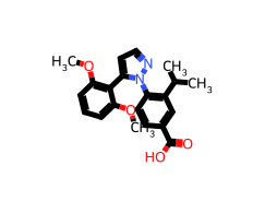 COc1cccc(OC)c1-c1ccnn1-c1ccc(C(=O)O)cc1C(C)C